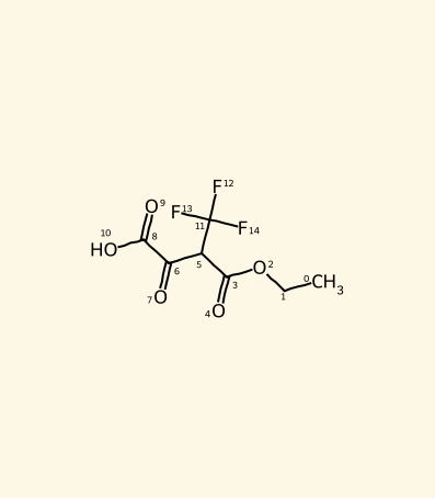 CCOC(=O)C(C(=O)C(=O)O)C(F)(F)F